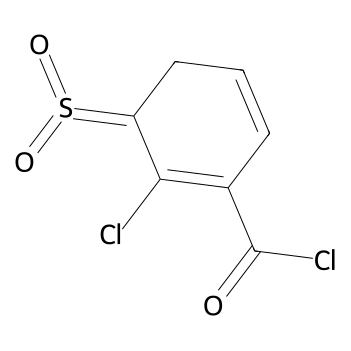 O=C(Cl)C1=C(Cl)C(=S(=O)=O)CC=C1